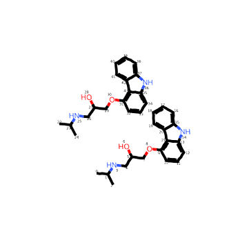 CC(C)NCC(O)COc1cccc2[nH]c3ccccc3c12.CC(C)NCC(O)COc1cccc2[nH]c3ccccc3c12